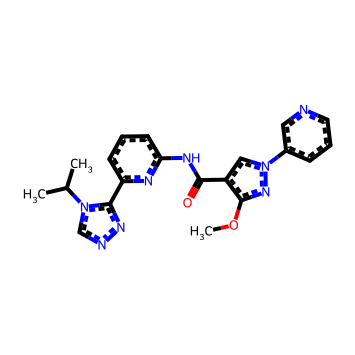 COc1nn(-c2cccnc2)cc1C(=O)Nc1cccc(-c2nncn2C(C)C)n1